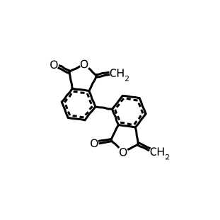 C=C1OC(=O)c2c1cccc2-c1cccc2c1C(=C)OC2=O